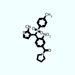 Cc1ccc(S(=O)(=O)C(c2ccc(C(=O)N3CCCC3)cc2[N+](=O)[O-])c2ccsc2C#N)cc1